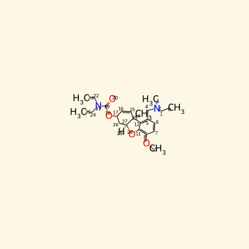 CCN(C)Cc1ccc(OC)c2c1[C@]1(C)C=C[C@H](OC(=O)N(CC)CC)C[C@@H]1O2